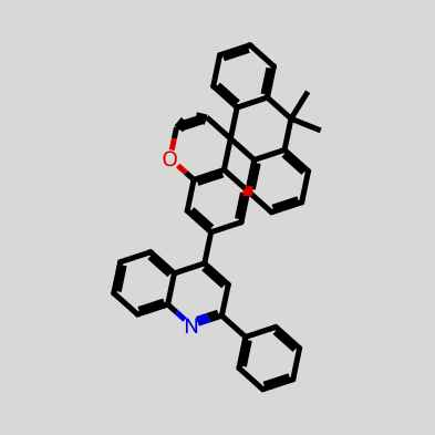 CC1(C)c2ccccc2C2(c3ccccc3Oc3cc(-c4cc(-c5ccccc5)nc5ccccc45)ccc32)c2ccccc21